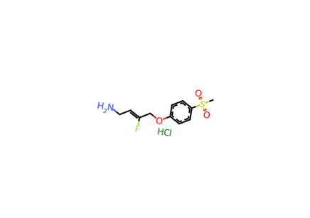 CS(=O)(=O)c1ccc(OCC(F)=CCN)cc1.Cl